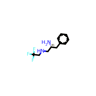 N[C@@H](CNCC(F)(F)F)Cc1ccccc1